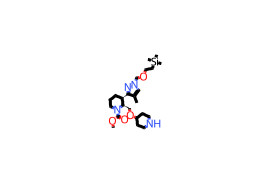 COC(=O)N1CCC[C@H](c2nn(COCC[Si](C)(C)C)cc2C)[C@@H]1COC1CCNCC1